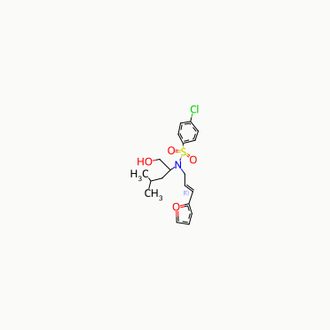 CC(C)CC(CO)N(C/C=C/c1ccco1)S(=O)(=O)c1ccc(Cl)cc1